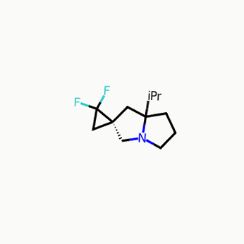 CC(C)C12CCCN1C[C@]1(C2)CC1(F)F